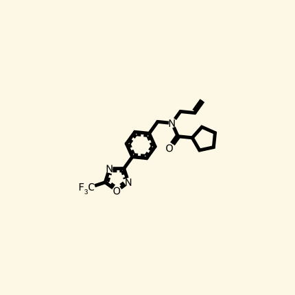 C=CCN(Cc1ccc(-c2noc(C(F)(F)F)n2)cc1)C(=O)C1CCCC1